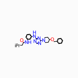 CC(C)CC(=O)Nc1cccc(Nc2ncnc(N3CCC(OCc4ccccc4)CC3)n2)c1